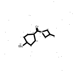 CC1CN(C(=O)C2CCC(C(C)(C)C)CC2)C1